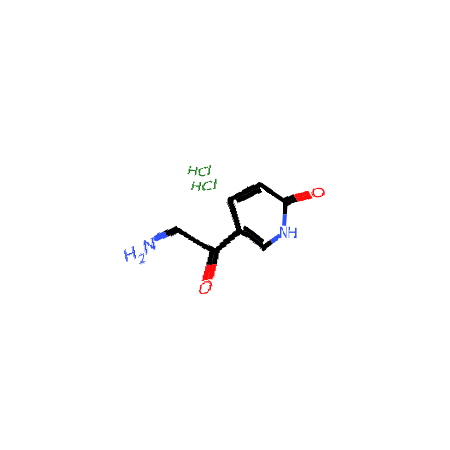 Cl.Cl.NCC(=O)c1ccc(=O)[nH]c1